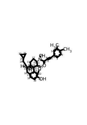 Cc1ccc(C#CC(=O)N(C)[C@H]2CC[C@H]3[C@H]4Cc5ccc(O)c6c5[C@@]3(CCN4CC3CC3)[C@H]2O6)cc1C